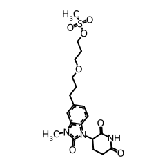 Cn1c(=O)n(C2CCC(=O)NC2=O)c2ccc(CCCOCCCOS(C)(=O)=O)cc21